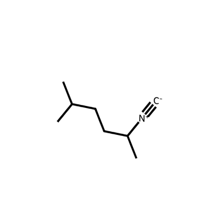 [C-]#[N+]C(C)CCC(C)C